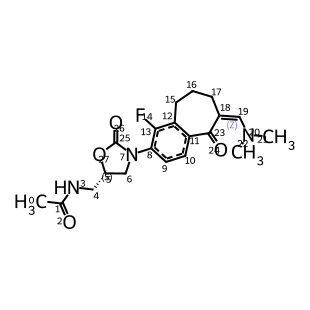 CC(=O)NC[C@H]1CN(c2ccc3c(c2F)CCC/C(=C/N(C)C)C3=O)C(=O)O1